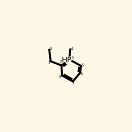 CCC1=[PH](C)C=CC=C1